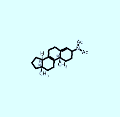 CC(=O)N(C(C)=O)C1C=C2CCC3=C(CC[C@]4(C)CCC[C@@H]34)[C@@]2(C)CC1